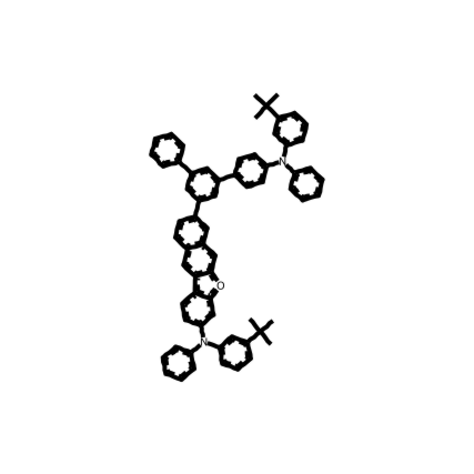 CC(C)(C)c1cccc(N(c2ccccc2)c2ccc(-c3cc(-c4ccccc4)cc(-c4ccc5cc6c(cc5c4)oc4cc(N(c5ccccc5)c5cccc(C(C)(C)C)c5)ccc46)c3)cc2)c1